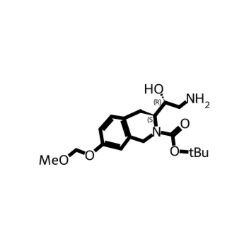 COCOc1ccc2c(c1)CN(C(=O)OC(C)(C)C)[C@H]([C@H](O)CN)C2